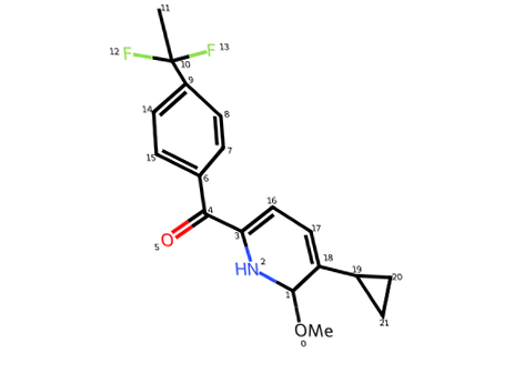 COC1NC(C(=O)c2ccc(C(C)(F)F)cc2)=CC=C1C1CC1